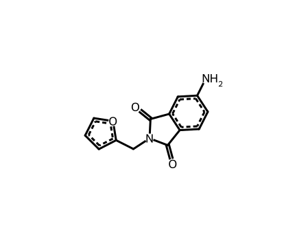 Nc1ccc2c(c1)C(=O)N(Cc1ccco1)C2=O